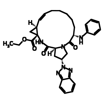 CCOC(=O)[C@@]12C[C@H]1/C=C\CCCCC[C@H](Nc1ccccc1)C(=O)N1C[C@H](n3nc4ccccc4n3)C[C@H]1C(=O)N2